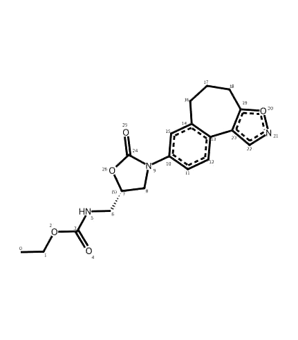 CCOC(=O)NC[C@H]1CN(c2ccc3c(c2)CCCc2oncc2-3)C(=O)O1